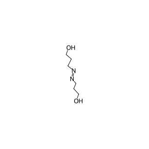 OCCCN=NCCCO